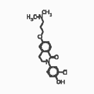 CN(C)CCCOc1ccc2c(c1)CCN(c1ccc(O)c(Cl)c1)C2=O